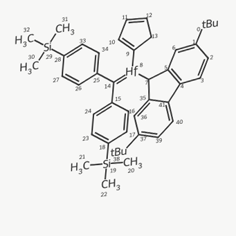 CC(C)(C)c1ccc2c(c1)[CH]([Hf]([C]1=CC=CC1)=[C](c1ccc([Si](C)(C)C)cc1)c1ccc([Si](C)(C)C)cc1)c1cc(C(C)(C)C)ccc1-2